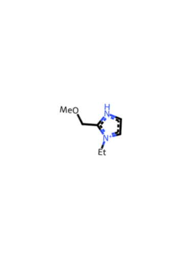 CC[n+]1cc[nH]c1COC